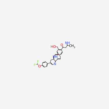 CC(=N)CC(=O)c1ccc(N/C2=C\C/C=C\C=C3\CC(c4ccc(OC(F)F)cc4)=CN=C32)cc1CO